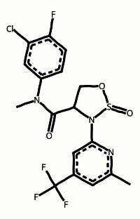 Cc1cc(C(F)(F)F)cc(N2C(C(=O)N(C)c3ccc(F)c(Cl)c3)COS2=O)n1